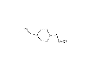 CCOCC1CCC(CO)CC1